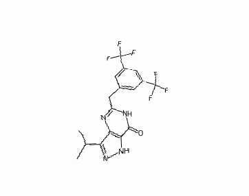 CC(C)c1n[nH]c2c(=O)[nH]c(Cc3cc(C(F)(F)F)cc(C(F)(F)F)c3)nc12